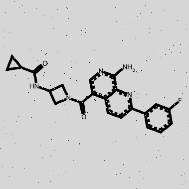 Nc1ncc(C(=O)N2CC(NC(=O)C3CC3)C2)c2ccc(-c3cccc(F)c3)nc12